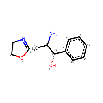 C1=NCCO1.CC(N)[C@@H](O)c1ccccc1